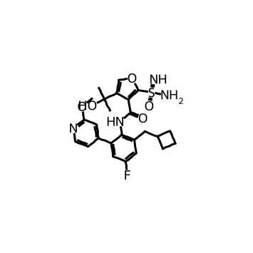 COc1cc(-c2cc(F)cc(CC3CCC3)c2NC(=O)c2c(C(C)(C)O)coc2S(=N)(N)=O)ccn1